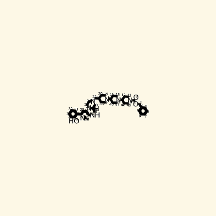 O=C(OCc1ccccc1)N1CCC(N2CCC(N3CCC(CN4CCN5c6cc(-c7ccccc7O)nnc6NC[C@H]5C4)CC3)CC2)CC1